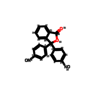 O=Nc1ccc(C2(c3ccc(N=O)cc3)OC(=O)c3ccccc32)cc1